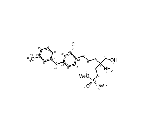 COP(=O)(CCC(N)(CO)CCCc1ccc(Sc2cccc(C(F)(F)F)c2)cc1Cl)OC